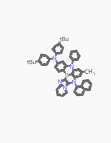 Cc1cc2c3c(c1)N(c1cccc4ccccc14)c1c(nc4ccccn14)B3c1ccc(N(c3ccc(C(C)(C)C)cc3)c3ccc(C(C)(C)C)cc3)cc1N2c1ccccc1